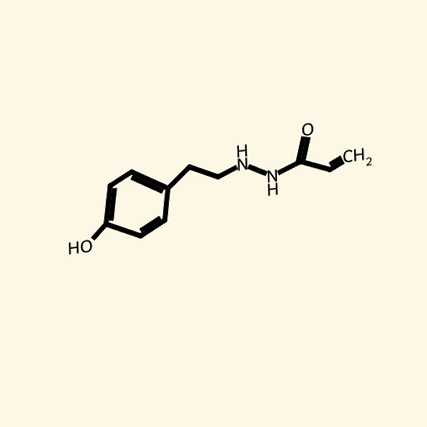 C=CC(=O)NNCCc1ccc(O)cc1